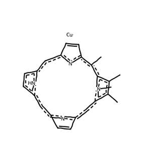 Cc1c(C)c2c(C)c3nc(cc4ccc(cc5nc(cc1n2C)C=C5)[nH]4)C=C3.[Cu]